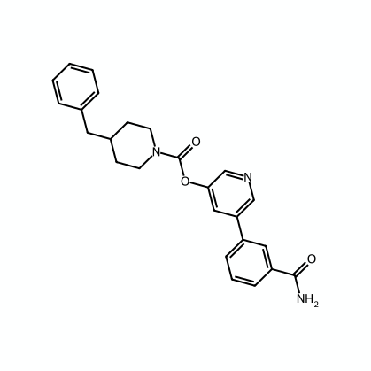 NC(=O)c1cccc(-c2cncc(OC(=O)N3CCC(Cc4ccccc4)CC3)c2)c1